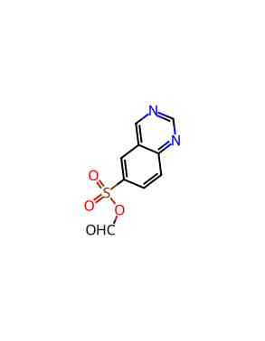 O=COS(=O)(=O)c1ccc2ncncc2c1